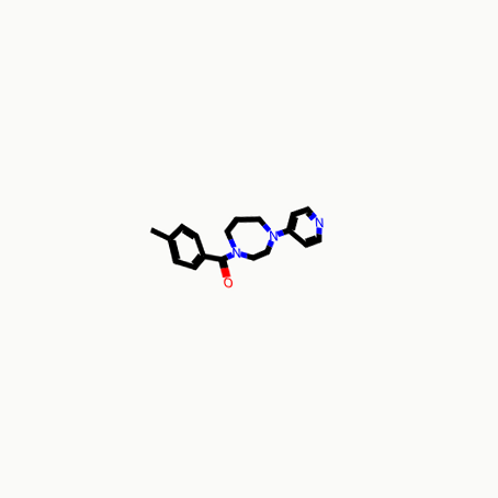 Cc1ccc(C(=O)N2CCCN(c3ccncc3)CC2)cc1